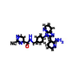 N#Cc1nccc(C(=O)NCc2ccc(-n3c(-c4cccnc4N)nc4cccnc43)cc2)n1